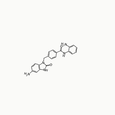 Nc1ccc2c(c1)[nH]c(=O)n2Cc1ccc(C(=O)Nc2ccccc2N)cc1